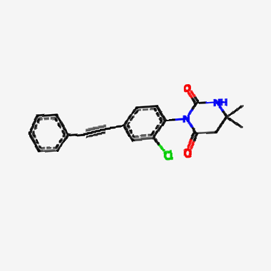 CC1(C)CC(=O)N(c2ccc(C#Cc3ccccc3)cc2Cl)C(=O)N1